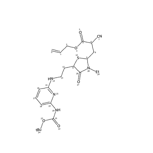 C=CCOC(=O)C(C#N)CC1SC(CCNc2cccc(NC(=O)OC(C)(C)C)n2)C(=O)N1CC